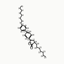 CCCCCCCCc1ccc(-c2ccc(C3CC(CCCCCCC)C(=O)O3)cc2)cc1